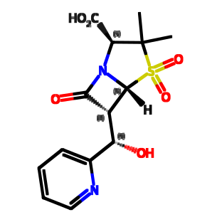 CC1(C)[C@H](C(=O)O)N2C(=O)[C@@H]([C@H](O)c3ccccn3)[C@H]2S1(=O)=O